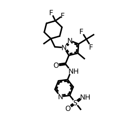 Cc1c(C(C)(F)F)nn(CC2(C)CCC(F)(F)CC2)c1C(=O)Nc1ccnc(S(C)(=N)=O)c1